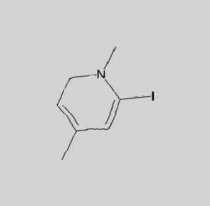 CC1=CCN(C)C(I)=C1